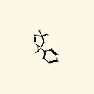 CC1(C)C=N[N+]([O-])(c2ccccc2)C1